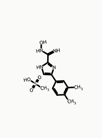 CS(=O)(=O)O.Cc1ccc(-c2c[nH]c(C(=N)NO)n2)cc1C